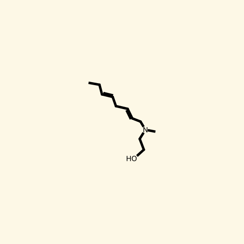 CCC=CCC=CCN(C)CCO